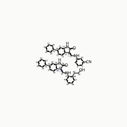 N#Cc1cccc(N/C=C2\C(=O)Nc3cc(-c4ccccc4)ccc32)c1.O=C1Nc2cc(-c3ccccc3)ccc2/C1=C/Nc1ccccc1CCO